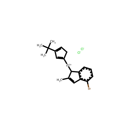 CC1=Cc2c(Br)cccc2[CH]1[Zr+2][C]1=CC(C(C)(C)C)=CC1.[Cl-].[Cl-]